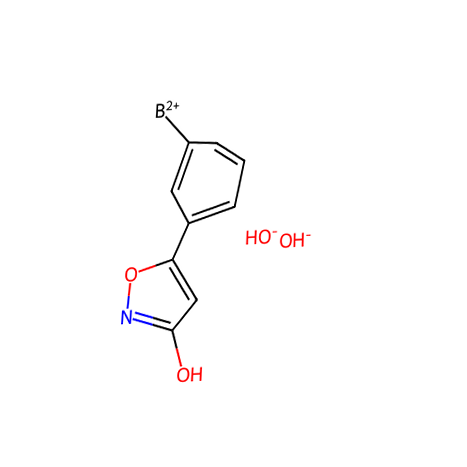 [B+2]c1cccc(-c2cc(O)no2)c1.[OH-].[OH-]